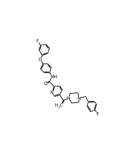 C=C(c1ccc(C(=O)Nc2ccc(Oc3cccc(F)c3)cc2)nc1)N1CCN(Cc2ccc(F)cc2)CC1